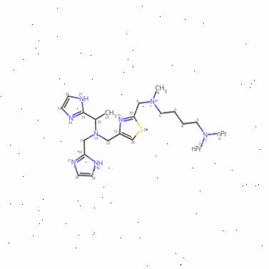 CCCN(CCC)CCCCN(C)Cc1nc(CN(Cc2ncc[nH]2)C(C)c2ncc[nH]2)cs1